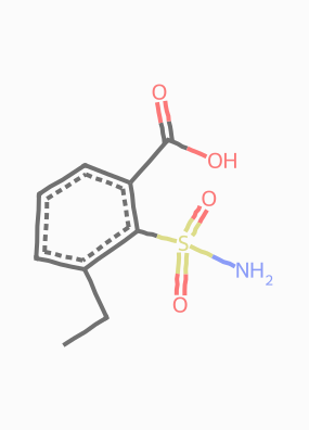 CCc1cccc(C(=O)O)c1S(N)(=O)=O